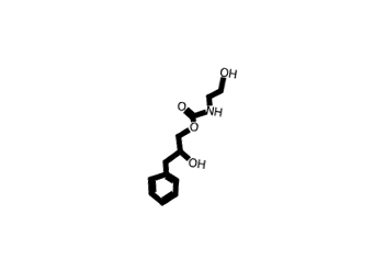 O=C(NCCO)OCC(O)Cc1ccccc1